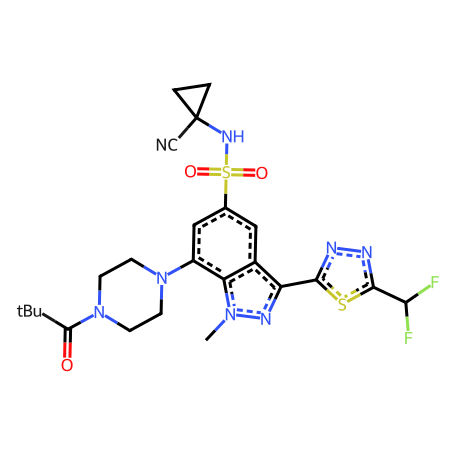 Cn1nc(-c2nnc(C(F)F)s2)c2cc(S(=O)(=O)NC3(C#N)CC3)cc(N3CCN(C(=O)C(C)(C)C)CC3)c21